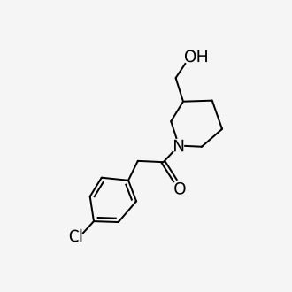 O=C(Cc1ccc(Cl)cc1)N1CCCC(CO)C1